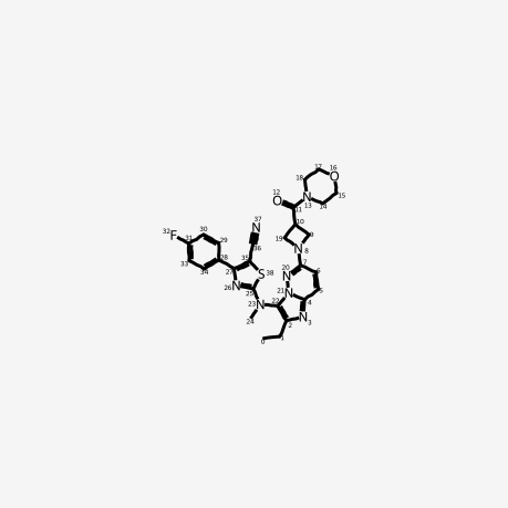 CCc1nc2ccc(N3CC(C(=O)N4CCOCC4)C3)nn2c1N(C)c1nc(-c2ccc(F)cc2)c(C#N)s1